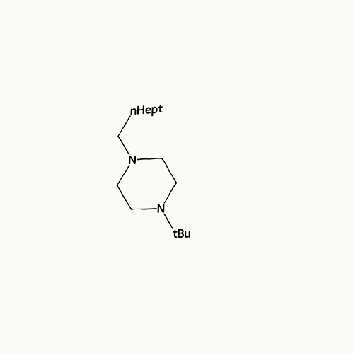 CCCCCCCCN1CCN(C(C)(C)C)CC1